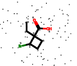 CCC1(C(=O)O)CCC1Br